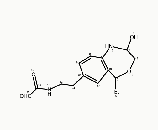 CCC1OCC(O)Nc2ccc(CCNC(=O)C=O)cc21